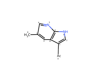 CC(=O)c1c[nH]c2ncc(C)cc12